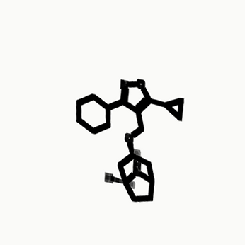 C1CCC(c2noc(C3CC3)c2CO[C@H]2CC3CC[C@@H](C2)N3)CC1